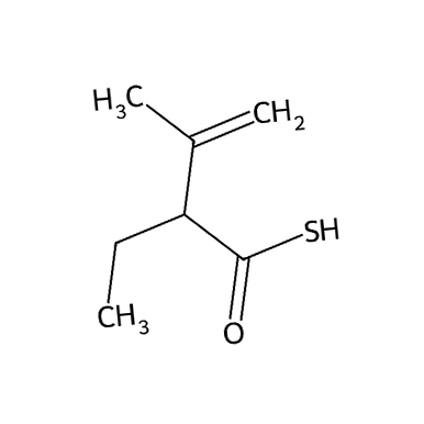 C=C(C)C(CC)C(=O)S